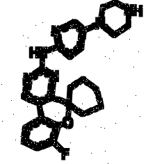 Fc1cccc2c1OC1(CCCCC1)c1nc(Nc3ccc(N4CCNCC4)cn3)ncc1-2